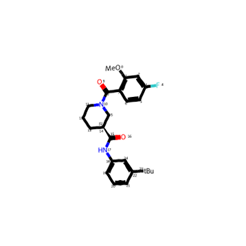 COc1cc(F)ccc1C(=O)N1CCC[C@H](C(=O)Nc2cccc(C(C)(C)C)c2)C1